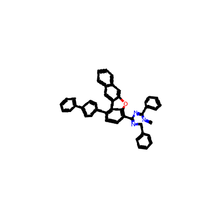 C=N/C(=N\C(=N/Cc1ccccc1)c1ccc(-c2ccc(-c3ccccc3)cc2)c2c1oc1cc3ccccc3cc12)c1ccccc1